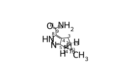 C[C@H]1[C@@H]2Cc3c(n[nH]c3C(N)=O)[C@H]12